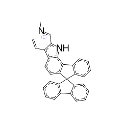 C=Cc1c(/C=N/C)[nH]c2c3c(ccc12)C1(c2ccccc2-c2ccccc21)c1ccccc1-3